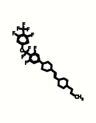 CCCC1CCC(/C=C/C2CCC(c3cc(F)c(C(F)(F)Oc4cc(F)c(C(F)(F)F)c(F)c4)c(F)c3)CC2)CC1